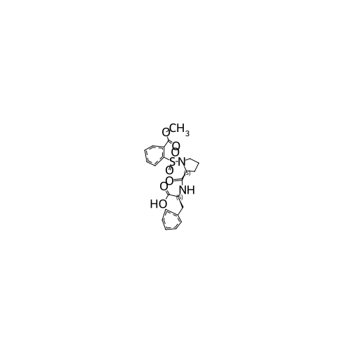 COC(=O)c1ccccc1S(=O)(=O)N1CCC[C@H]1C(=O)N[C@@H](Cc1ccccc1)C(=O)O